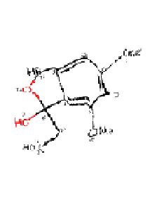 COc1cc2c(c(OC)c1)C(O)(CC(=O)O)OB2